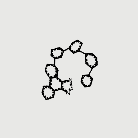 c1ccc(-c2cccc(-c3cccc(-c4cccc(-c5ccc6c7ccccc7c7nsnc7c6c5)c4)c3)c2)cc1